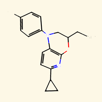 CC(=O)NCC1CN(c2ccc(C(F)(F)F)cc2)c2ccc(C3CC3)nc2O1